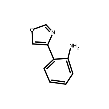 Nc1ccccc1-c1cocn1